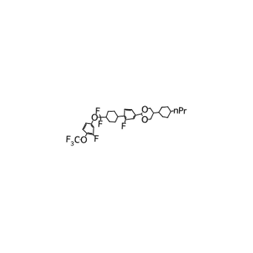 CCCC1CCC(C2COC(c3ccc(C4CCC(C(F)(F)Oc5ccc(OC(F)(F)F)c(F)c5)CC4)c(F)c3)OC2)CC1